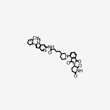 CN1CCC[C@@H]1c1cc2cnc(NC(=O)CCCC3CCCN(c4cccc5c4C(=O)N(C4CCC(=O)NC4=O)C5=O)C3)cc2[nH]1